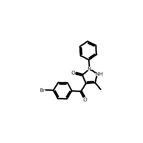 Cc1[nH]n(-c2ccccc2)c(=O)c1C(=O)c1ccc(Br)cc1